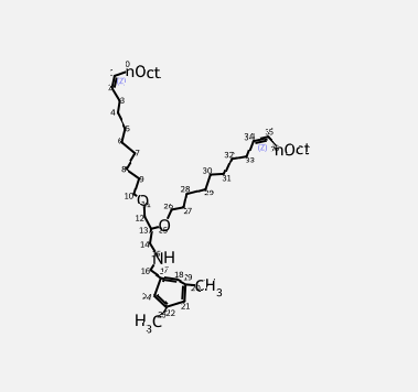 CCCCCCCC/C=C\CCCCCCCCOCC(CNCc1cc(C)cc(C)c1)OCCCCCCCC/C=C\CCCCCCCC